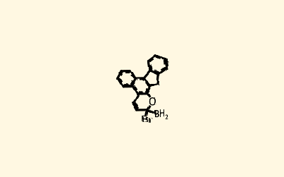 BC1(Br)C=Cc2c(c3c(c4ccccc24)-c2ccccc2C3)O1